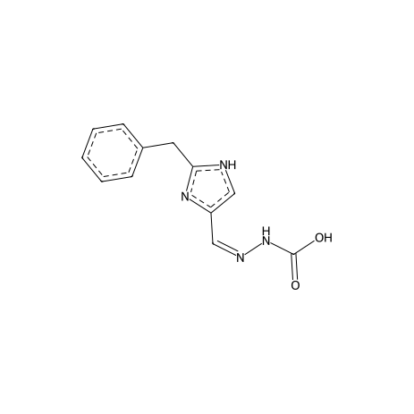 O=C(O)N/N=C\c1c[nH]c(Cc2ccccc2)n1